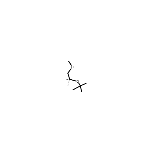 COC[C@@H](C)OC(C)(C)C